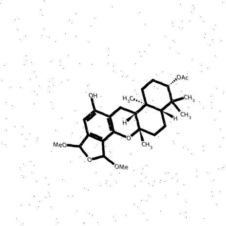 COC1OC(OC)c2c1cc(O)c1c2O[C@@]2(C)CC[C@H]3C(C)(C)[C@@H](OC(C)=O)CC[C@]3(C)[C@H]2C1